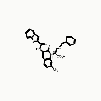 O=C(N[C@H](COCc1ccccc1)C(=O)O)C(=Cc1ccc(C(F)(F)F)cc1)NC(=O)c1cc2ccccc2s1